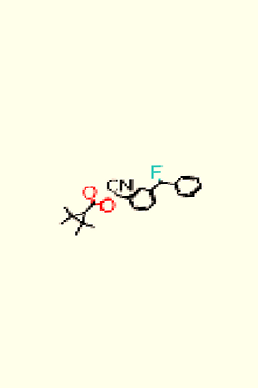 CC1(C)C(C(=O)OC(C#N)c2cccc(C(F)c3ccccc3)c2)C1(C)C